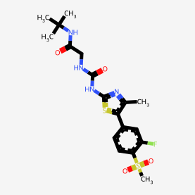 Cc1nc(NC(=O)NCC(=O)NC(C)(C)C)sc1-c1ccc(S(C)(=O)=O)c(F)c1